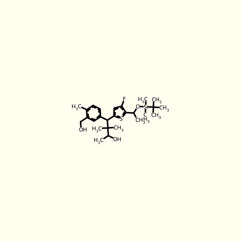 Cc1ccc(C(c2cc(F)c(C(C)O[Si](C)(C)C(C)(C)C)s2)C(C)(C)C(C)O)cc1CO